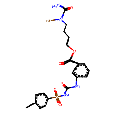 Cc1ccc(S(=O)(=O)NC(=O)Nc2cccc(C(=O)OCCCCN(S)C(N)=O)c2)cc1